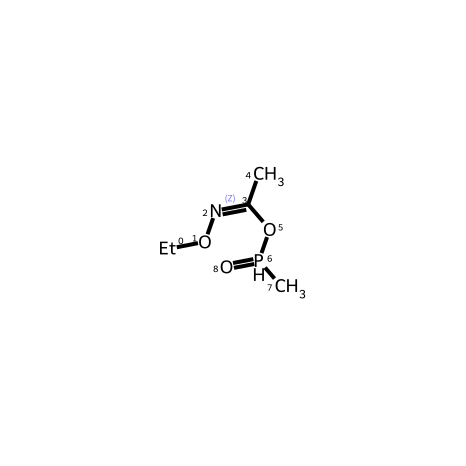 CCO/N=C(/C)O[PH](C)=O